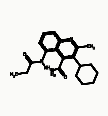 CCC(=O)N(N)c1cccc2nc(C)c(C3CCCCC3)c(C(N)=O)c12